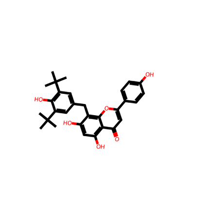 CC(C)(C)c1cc(Cc2c(O)cc(O)c3c(=O)cc(-c4ccc(O)cc4)oc23)cc(C(C)(C)C)c1O